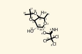 CC1O[C@H](OC(=N)C(Cl)(Cl)Cl)[C@H](O)C2OC(C)(C)O[C@@H]12